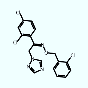 Clc1ccc(C(Cn2cncn2)=NOCc2ccccc2Cl)c(Cl)c1